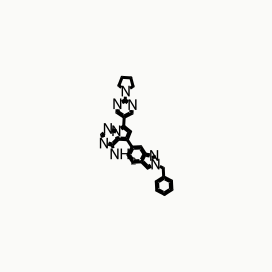 Nc1ncnn2c(-c3cnc(N4CCCC4)nc3)cc(-c3ccc4cn(Cc5ccccc5)nc4c3)c12